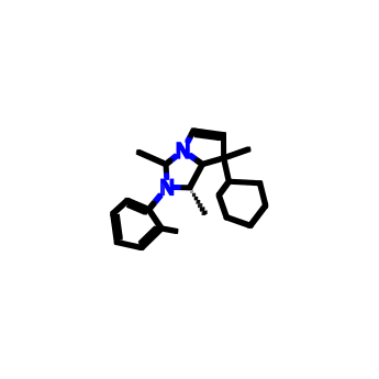 Cc1ccccc1N1C(C)N2C=CC(C)(C3CCCCC3)C2[C@@H]1C